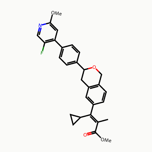 COC(=O)/C(C)=C(/c1ccc2c(c1)CC(c1ccc(-c3cc(OC)ncc3F)cc1)OC2)C1CC1